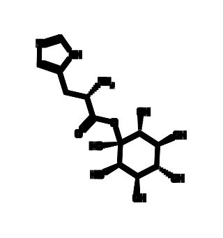 N[C@@H](Cc1cnc[nH]1)C(=O)O[C@]1(O)[C@H](O)[C@H](O)[C@@H](O)[C@H](O)[C@H]1O